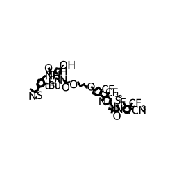 Cc1ncsc1-c1ccc(CNC(=O)[C@@H]2C[C@@H](O)CN2C(=O)[C@@H](NC(=O)COCCCCOc2ccc(-c3ncc(N4C(=S)N(c5ccc(C#N)c(C(F)(F)F)c5F)C(=O)C4(C)C)cc3C(F)(F)F)c(C(F)(F)F)c2)C(C)(C)C)cc1